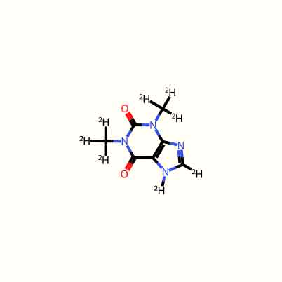 [2H]c1nc2c(c(=O)n(C([2H])([2H])[2H])c(=O)n2C([2H])([2H])[2H])n1[2H]